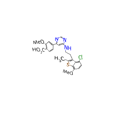 COc1cc(-c2cc(NCCc3c(C)sc4c(OC)ccc(Cl)c34)ncn2)ccc1C(=O)O